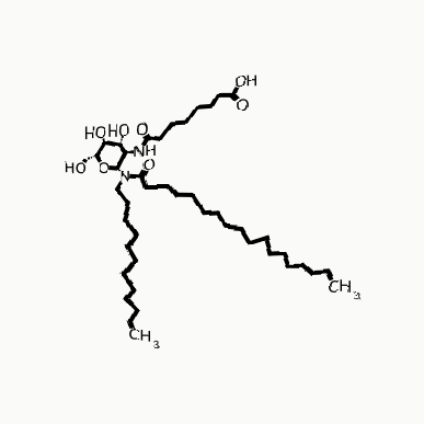 CCCCCCCCCCCCCCCCCC(=O)N(CCCCCCCCCCCC)[C@@H]1O[C@H](CO)[C@@H](O)[C@H](O)[C@H]1NC(=O)CCCCCCC(=O)O